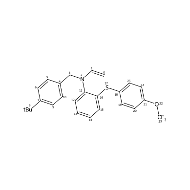 C=CN(Cc1ccc(C(C)(C)C)cc1)c1ccccc1Sc1ccc(OC(F)(F)F)cc1